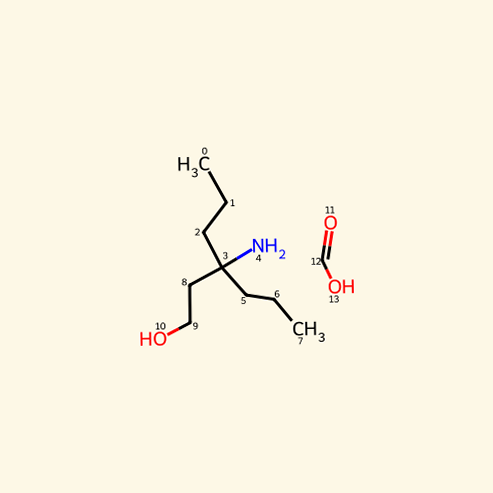 CCCC(N)(CCC)CCO.O=CO